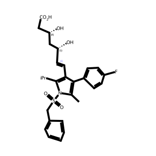 Cc1c(-c2ccc(F)cc2)c(/C=C/[C@@H](O)C[C@@H](O)CC(=O)O)c(C(C)C)n1S(=O)(=O)Cc1ccccc1